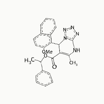 COc1ccc2ccccc2c1C1C(C(=O)OC(C)c2ccccc2)=C(C)Nc2nnnn21